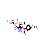 CCOC(=O)c1nn(C)c(OC(=O)c2ccc(C)cc2)c1C(C)O